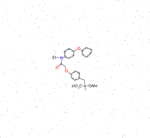 CCN(C(=O)COc1ccc(CC(C)(OC)C(=O)O)cc1)c1ccc(Oc2ccccc2)cc1